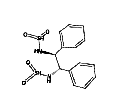 O=[SH](=O)N[C@@H](c1ccccc1)[C@@H](N[SH](=O)=O)c1ccccc1